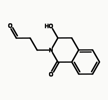 O=CCCN1C(=O)c2ccccc2CC1O